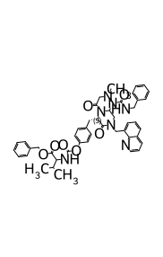 CC(C)C(NC(=O)Oc1ccc(C[C@H]2C(=O)N(Cc3cccc4cccnc34)CC3N2C(=O)CN(C)N3C(=O)NCc2ccccc2)cc1)C(=O)OCc1ccccc1